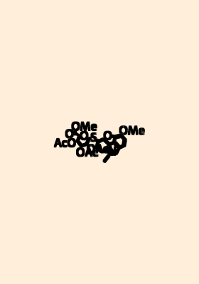 COC(=O)[C@H]1OC(SC2C=CC3C4Cc5ccc(OC)c6c5C3(CCN4C)C2O6)[C@H](OC(C)=O)[C@@H](OC(C)=O)[C@@H]1OC(C)=O